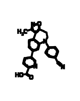 Cc1noc2c1-c1ccc(-c3ccc(C(=O)O)nc3)cc1N(c1ccc(C#N)cc1)CC2